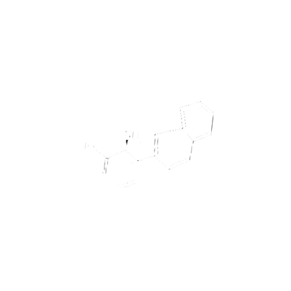 N[C@H](C(=O)O)[C@@H](C=O)c1ccc2ccccc2c1